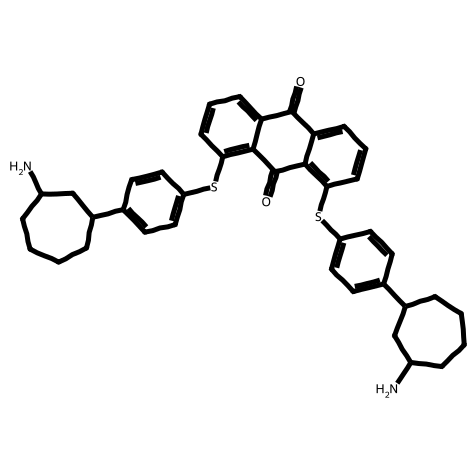 NC1CCCCC(c2ccc(Sc3cccc4c3C(=O)c3c(Sc5ccc(C6CCCCC(N)C6)cc5)cccc3C4=O)cc2)C1